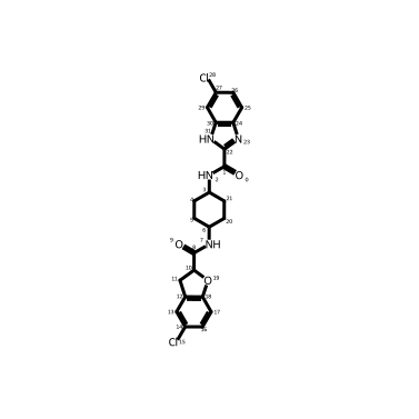 O=C(NC1CCC(NC(=O)C2Cc3cc(Cl)ccc3O2)CC1)c1nc2ccc(Cl)cc2[nH]1